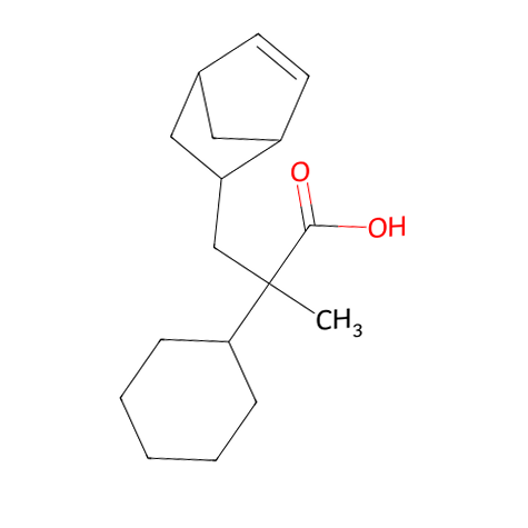 CC(CC1CC2C=CC1C2)(C(=O)O)C1CCCCC1